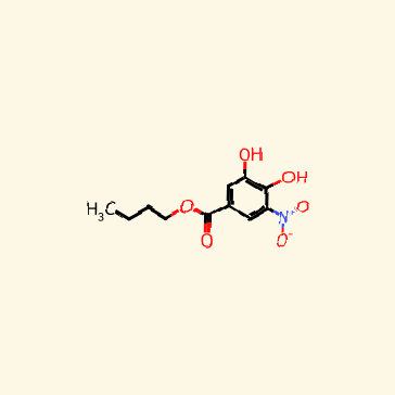 CCCCOC(=O)c1cc(O)c(O)c([N+](=O)[O-])c1